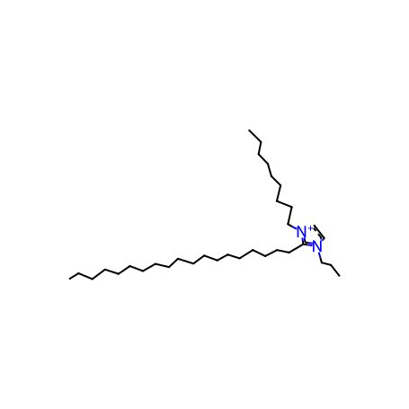 CCCCCCCCCCCCCCCCCCCc1n(CCC)cc[n+]1CCCCCCCCC